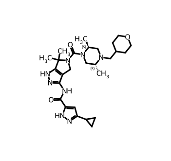 C[C@@H]1CN(C(=O)N2Cc3c(NC(=O)c4cc(C5CC5)n[nH]4)n[nH]c3C2(C)C)[C@@H](C)CN1CC1CCOCC1